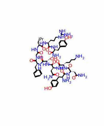 CC(C)C[C@H](NC(=O)CNC(=O)[C@H](Cc1ccccc1)NC(=O)[C@H](CO)NC(=O)[C@H](CC(N)=O)NC(=O)[C@H](CCCCN)NC(=O)[C@H](CC(N)=O)NC(=O)[C@@H](N)Cc1ccc(O)cc1)C(=O)N[C@@H](CCCNC(=N)N)C(=O)N[C@@H](Cc1ccc(O)cc1)C(N)=O